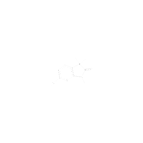 CC(C)N1C(=O)C(C)(C)c2ccc([N+](=O)[O-])cc21